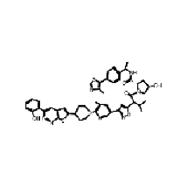 Cc1cc(-c2cc(C(C(=O)N3C[C@H](O)C[C@H]3C(=O)NC(C)c3ccc(-c4scnc4C)cc3)C(C)C)on2)cnc1N1CCC(c2cc3cc(-c4ccccc4O)nnc3s2)CC1